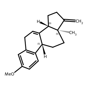 C=C1CC[C@H]2C3=CCc4cc(OC)ccc4[C@H]3CC[C@]12C